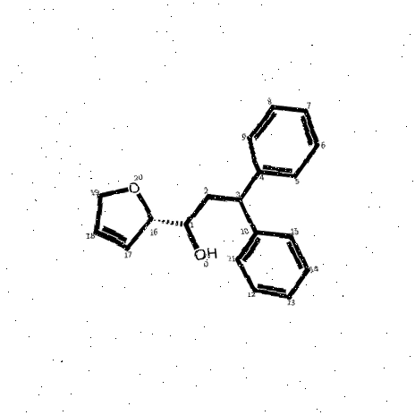 OC(CC(c1ccccc1)c1ccccc1)[C@@H]1C=CCO1